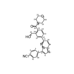 N#Cc1ccc(-c2cnc3ccc(-c4ccc(C(=O)N5CCOCC5)c(CO)c4)nn23)cc1